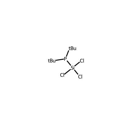 CC(C)(C)P(C(C)(C)C)[Si](Cl)(Cl)Cl